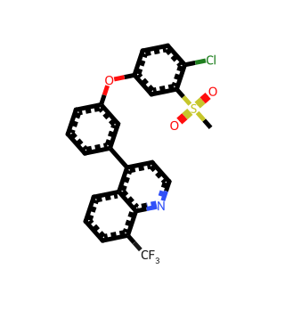 CS(=O)(=O)c1cc(Oc2cccc(-c3ccnc4c(C(F)(F)F)cccc34)c2)ccc1Cl